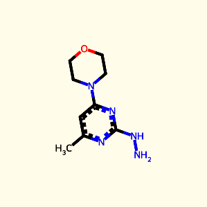 Cc1cc(N2CCOCC2)nc(NN)n1